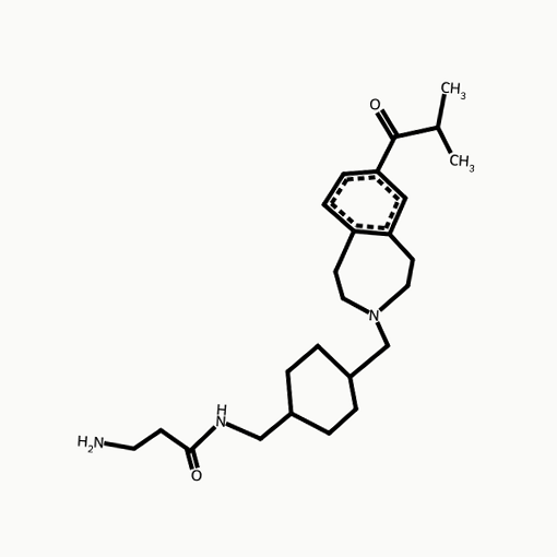 CC(C)C(=O)c1ccc2c(c1)CCN(CC1CCC(CNC(=O)CCN)CC1)CC2